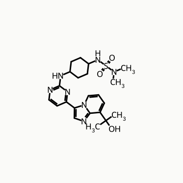 CN(C)S(=O)(=O)NC1CCC(Nc2nccc(-c3cnc4c(C(C)(C)O)cccn34)n2)CC1